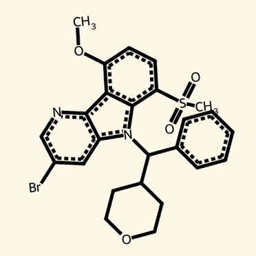 COc1ccc(S(C)(=O)=O)c2c1c1ncc(Br)cc1n2C(c1ccccc1)C1CCOCC1